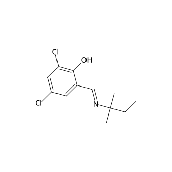 CCC(C)(C)N=Cc1cc(Cl)cc(Cl)c1O